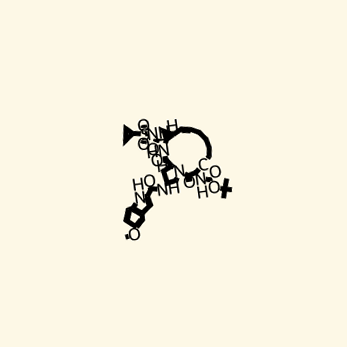 COc1ccc2[nH]c(C(=O)N[C@@H]3C[C@H]4C(=O)N[C@]5(C(=O)NS(=O)(=O)C6CC6)C[C@H]5/C=C\CCCCC[C@H](NC(=O)OC(C)(C)C)C(=O)N4C3)cc2c1